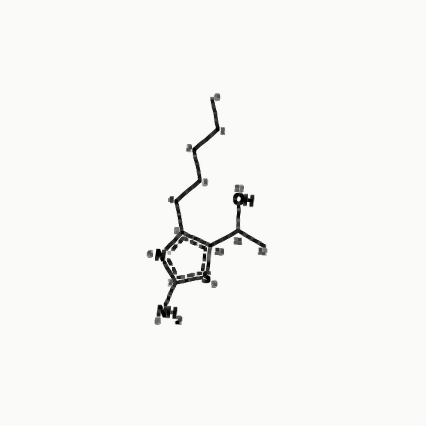 CCCCCc1nc(N)sc1C(C)O